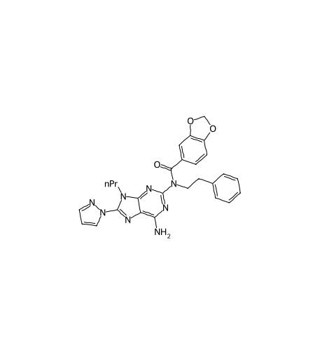 CCCn1c(-n2cccn2)nc2c(N)nc(N(CCc3ccccc3)C(=O)c3ccc4c(c3)OCO4)nc21